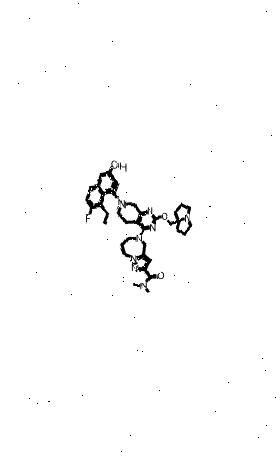 CCc1c(F)ccc2cc(O)cc(N3CCc4c(nc(OCC56CCCN5CCC6)nc4N4CCCn5nc(C(=O)N(C)C)cc5C4)C3)c12